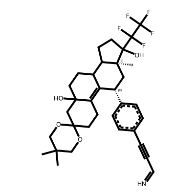 CC1(C)COC2(CCC3=C4C(CCC3(O)C2)C2CCC(O)(C(F)(F)C(F)(F)F)[C@@]2(C)C[C@@H]4c2ccc(C#CC=N)cc2)OC1